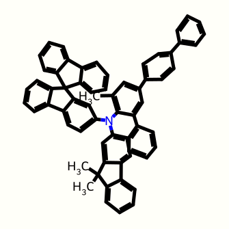 Cc1cc(-c2ccc(-c3ccccc3)cc2)cc(-c2ccccc2)c1N(c1ccc2c(c1)C(C)(C)c1ccccc1-2)c1ccc2c(c1)C1(c3ccccc3-c3ccccc31)c1ccccc1-2